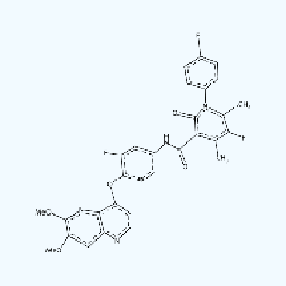 COc1cc2nccc(Oc3ccc(NC(=O)c4c(C)c(F)c(C)n(-c5ccc(F)cc5)c4=O)cc3F)c2nc1OC